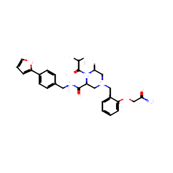 CC(C)C(=O)N1C(C)CN(Cc2ccccc2OCC(N)=O)CC1C(=O)NCc1ccc(-c2ccco2)cc1